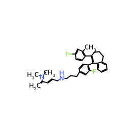 C=C(/C=C/CNCCCc1ccc(C2=C(c3ccc(F)cc3C)CCCc3ccccc32)c(F)c1)N(C)C